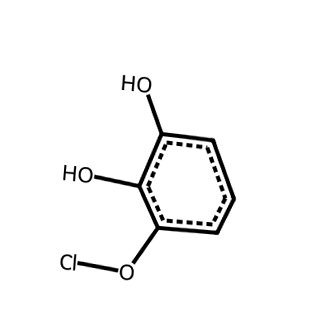 Oc1cccc(OCl)c1O